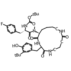 CN(C(=O)[C@H](Cc1ccc(F)cc1)NC(=O)OC(C)(C)C)[C@H]1CCCCNC(=O)CCCNC(=O)C(Cc2ccc(O)c(C(C)(C)C)c2)NC1=O